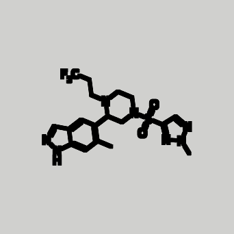 Cc1cc2[nH]ncc2cc1C1CN(S(=O)(=O)c2cnn(C)n2)CCN1CCC(F)(F)F